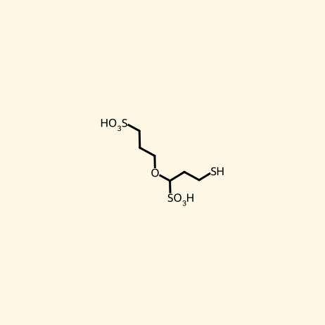 O=S(=O)(O)CCCOC(CCS)S(=O)(=O)O